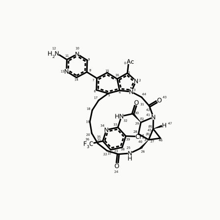 CC(=O)c1nn2c3c(cc(-c4cnc(N)nc4)cc13)CCCCCCC(=O)NC[C@@]13C[C@@H](C(=O)Nc4nc(C(F)(F)F)ccc4C)N(C(=O)C2)[C@@H]1C3